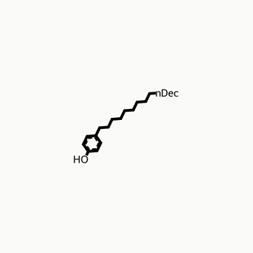 CCCCCCCCCCCCCCCCCCCc1ccc(O)cc1